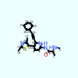 CNC(C)C(=O)Nc1ccc(-c2sc(C)nc2C)c(C#Cc2ccccc2)n1